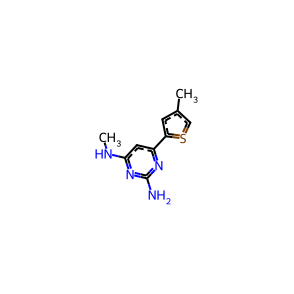 CNc1cc(-c2cc(C)cs2)nc(N)n1